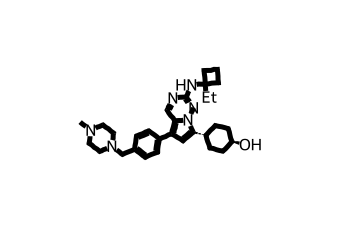 CCC1(Nc2ncc3c(-c4ccc(CN5CCN(C)CC5)cc4)cc([C@H]4CC[C@H](O)CC4)n3n2)CCC1